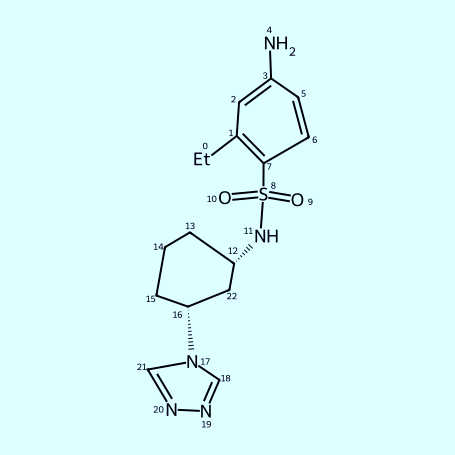 CCc1cc(N)ccc1S(=O)(=O)N[C@H]1CCC[C@@H](n2cnnc2)C1